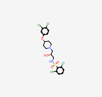 O=S(=O)(NC[C@@H](O)CN1CCC(Oc2ccc(Cl)c(Cl)c2)CC1)c1c(Cl)cccc1Cl